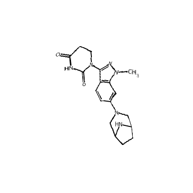 Cn1nc(N2CCC(=O)NC2=O)c2ccc(N3CC4CCC(C3)N4)cc21